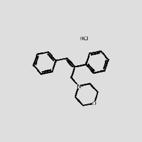 C(=C(/CN1CCOCC1)c1ccccc1)/c1ccccc1.Cl